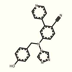 N#Cc1ccc(N(Cc2ccc(O)cc2)n2cnnc2)cc1-c1ccncc1